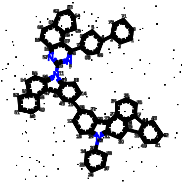 c1ccc(-c2ccc(-c3nc(-n4c5ccc(-c6ccc7c(c6)c6c8cccc9c8c(cc6n7-c6ccccc6)-c6ccccc6-9)cc5c5c6ccccc6ccc54)nc4ccc5ccccc5c34)cc2)cc1